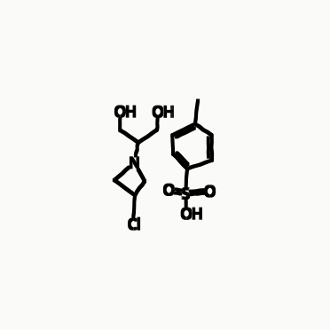 Cc1ccc(S(=O)(=O)O)cc1.OCC(CO)N1CC(Cl)C1